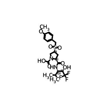 COc1ccc(CS(=O)(=O)[C@@H]2C[C@@H](C(=O)N[C@@H](C(C)C)[C@H](O)C(F)(F)F)N(C(=O)O)C2)cc1